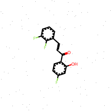 O=C(/C=C/c1cccc(F)c1F)c1ccc(F)cc1O